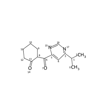 CC(C)c1cc(C(=O)C2CCCCC2=O)ncn1